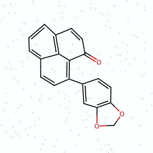 O=C1C=Cc2cccc3ccc(-c4ccc5c(c4)OCO5)c1c23